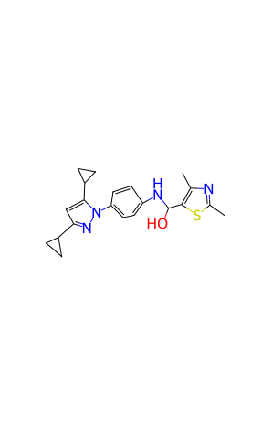 Cc1nc(C)c(C(O)Nc2ccc(-n3nc(C4CC4)cc3C3CC3)cc2)s1